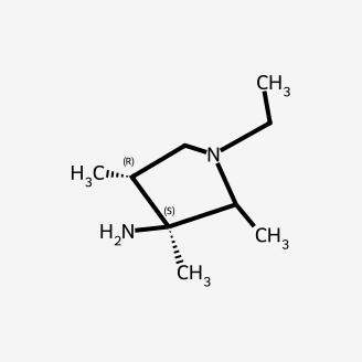 CCN1C[C@@H](C)[C@](C)(N)C1C